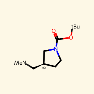 CNC[C@@H]1CCN(C(=O)OC(C)(C)C)C1